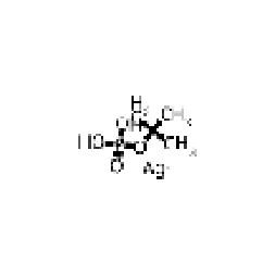 CC(C)(C)OP(=O)(O)O.[Ag]